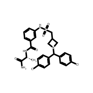 C[C@@H](NC(=O)c1cccc(NS(=O)(=O)CC2CN(C(c3ccc(Cl)cc3)c3ccc(Cl)cc3)C2)c1)C(N)=O